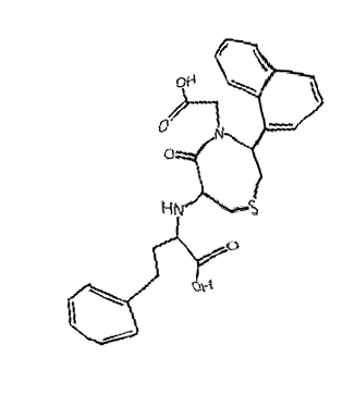 O=C(O)CN1C(=O)C(NC(CCc2ccccc2)C(=O)O)CSCC1c1cccc2ccccc12